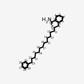 NC(=S)c1ccccc1CCCCCCCCCCCCCCCc1ccccc1